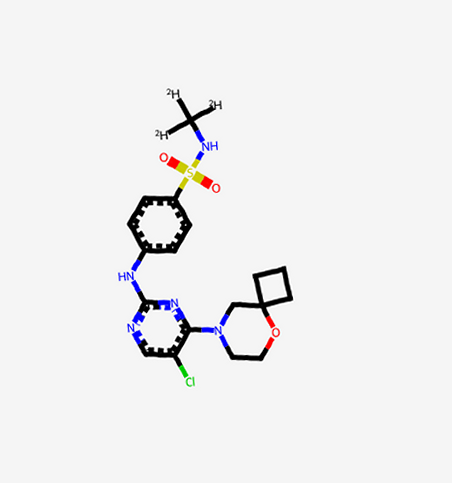 [2H]C([2H])([2H])NS(=O)(=O)c1ccc(Nc2ncc(Cl)c(N3CCOC4(CCC4)C3)n2)cc1